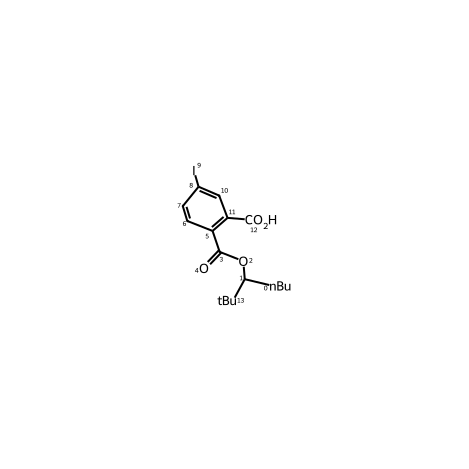 CCCCC(OC(=O)c1ccc(I)cc1C(=O)O)C(C)(C)C